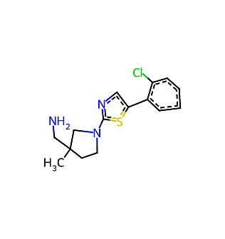 CC1(CN)CCN(c2ncc(-c3ccccc3Cl)s2)C1